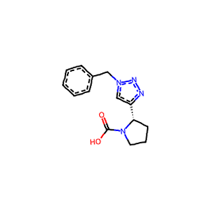 O=C(O)N1CCC[C@H]1c1cn(Cc2ccccc2)nn1